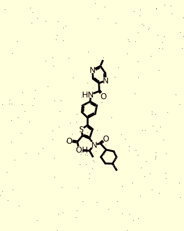 Cc1cnc(C(=O)Nc2ccc(-c3cc(N(C(=O)C4CCC(C)CC4)C(C)C)c(C(=O)O)s3)cc2)cn1